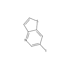 Ic1cnc2ccsc2c1